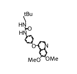 COc1cc2nccc(Oc3ccc(NC(=O)NCCC(C)(C)C)cc3)c2cc1OC